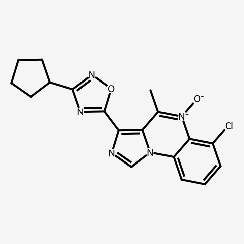 Cc1c2c(-c3nc(C4CCCC4)no3)ncn2c2cccc(Cl)c2[n+]1[O-]